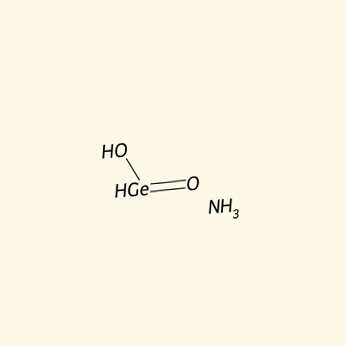 N.[O]=[GeH][OH]